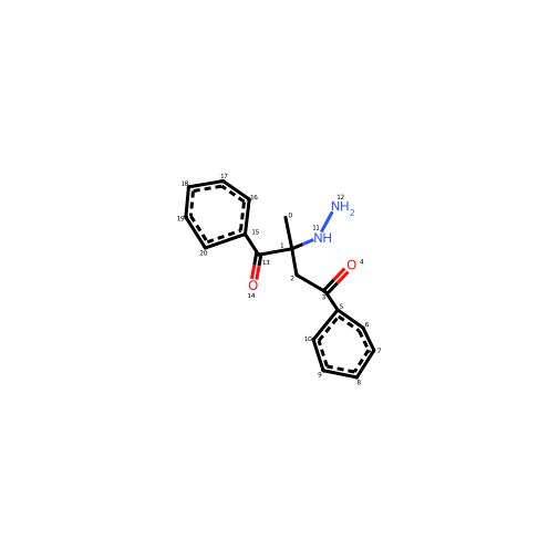 CC(CC(=O)c1ccccc1)(NN)C(=O)c1ccccc1